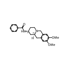 COc1cc2c(cc1OC)CN1CC[C@H](NC(=O)c3ccccc3)C[C@@H]1C2